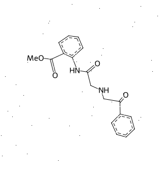 COC(=O)c1ccccc1NC(=O)CNCC(=O)c1ccccc1